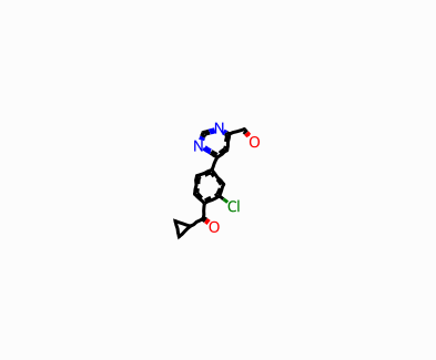 O=Cc1cc(-c2ccc(C(=O)C3CC3)c(Cl)c2)ncn1